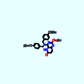 CCCCOc1nc(N(Cc2ccc(OC)cc2)Cc2ccc(OC)cc2)c2[nH]c(=O)ccc2n1